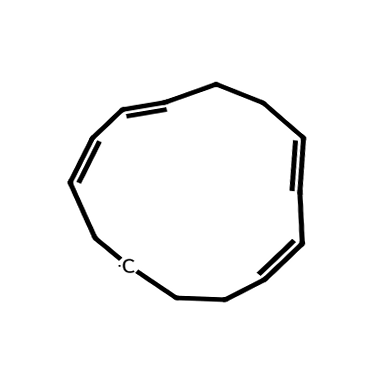 [CH]1C/C=C\C=C\CC/C=C/C=C\CC1